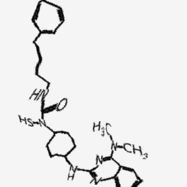 CN(C)c1nc(NC2CCC(N(S)C(=O)NCCCCc3ccccc3)CC2)nc2ccccc12